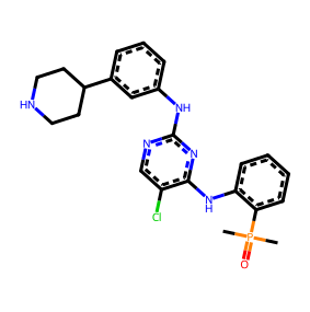 CP(C)(=O)c1ccccc1Nc1nc(Nc2cccc(C3CCNCC3)c2)ncc1Cl